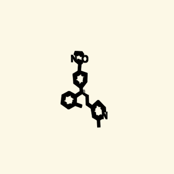 Cc1cc(CC[C@H](c2ccc(-c3ncco3)cc2)c2ccccc2C)ccn1